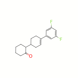 O=C1CCCCC1C1CC=C(c2cc(F)cc(F)c2)CC1